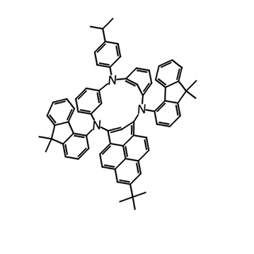 CC(C)c1ccc(N2c3cccc(c3)N(c3cccc4c3-c3ccccc3C4(C)C)c3cc(c4ccc5cc(C(C)(C)C)cc6ccc3c4c65)N(c3cccc4c3-c3ccccc3C4(C)C)c3cccc2c3)cc1